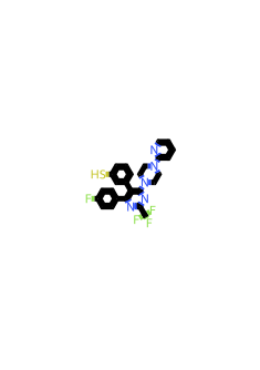 Fc1ccc(-c2nc(C(F)(F)F)nc(N3CCN(c4ccccn4)CC3)c2-c2cccc(S)c2)cc1